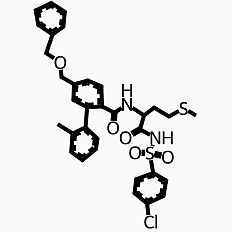 CSCCC(NC(=O)c1ccc(COCc2ccccc2)cc1-c1ccccc1C)C(=O)NS(=O)(=O)c1ccc(Cl)cc1